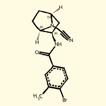 Cc1cc(C(=O)N[C@@H]2C[C@@H]3CC[C@H]2N3C#N)ccc1Br